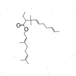 CC=CCCC=CC(C)(C)C(CC)C(=O)OC/C=C(\C)CCC=C(C)C